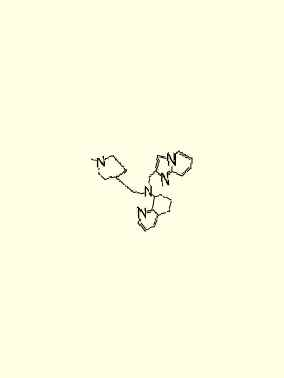 CN1CCC(CN(Cc2cn3ccccc3n2)C2CCCc3cccnc32)CC1